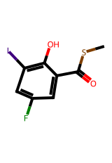 CSC(=O)c1cc(F)cc(I)c1O